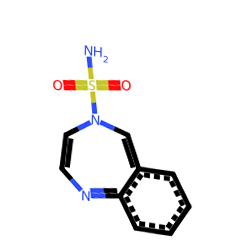 NS(=O)(=O)N1C=CN=c2ccccc2=C1